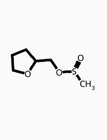 CS(=O)OCC1CCCO1